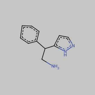 NCC(c1ccccc1)c1ccn[nH]1